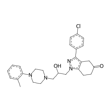 Cc1ccccc1N1CCN(CC(O)Cn2nc(-c3ccc(Cl)cc3)c3c2CCC(=O)C3)CC1